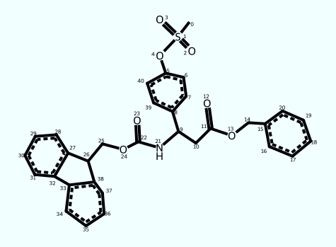 CS(=O)(=O)Oc1ccc(C(CC(=O)OCc2ccccc2)NC(=O)OCC2c3ccccc3-c3ccccc32)cc1